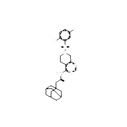 O=C(CC12CC3CC(CC(C3)C1)C2)Nc1ncnc2c1CCN(S(=O)(=O)c1cc(F)ccc1F)C2